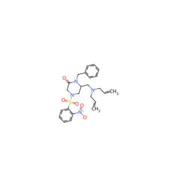 C=CCN(CC=C)CC1CN(S(=O)(=O)c2ccccc2[N+](=O)[O-])CC(=O)N1Cc1ccccc1